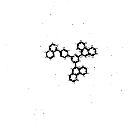 C1=Cc2c(ccnc2C2=CCC(c3nc(-c4cc5ccccc5c5ccccc45)cc(-c4cc5ccccc5c5ccccc45)n3)C=C2)CC1